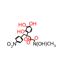 CN(O)C(=O)C(=O)C[C@](O)(Cc1ccc([N+](=O)[O-])cc1)c1ccc(O)c(O)c1O